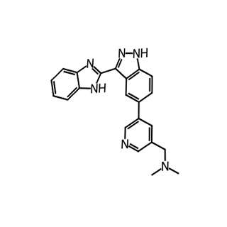 CN(C)Cc1cncc(-c2ccc3[nH]nc(-c4nc5ccccc5[nH]4)c3c2)c1